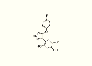 Oc1cc(O)c(-c2n[nH]cc2Oc2ccc(F)cc2)cc1Br